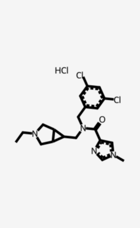 CCN1CC2C(C1)C2CN(Cc1cc(Cl)cc(Cl)c1)C(=O)c1cn(C)cn1.Cl